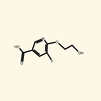 O=C(O)c1cnc(OCCO)c(F)c1